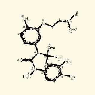 CCN(C=O)CCOc1cc(N(C(=S)N(C)c2ccc(C#N)c(C(F)(F)F)c2)C(C)(C)C=O)ccc1C